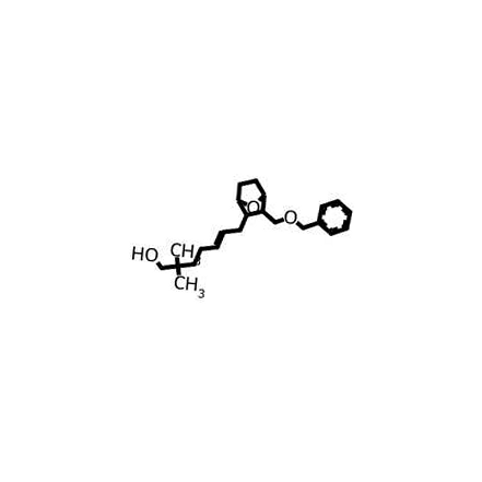 CC(C)(CO)CCC=CCC1C2CCC(O2)C1COCc1ccccc1